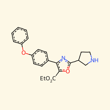 CCOC(=O)c1oc(C2CCNC2)nc1-c1ccc(Oc2ccccc2)cc1